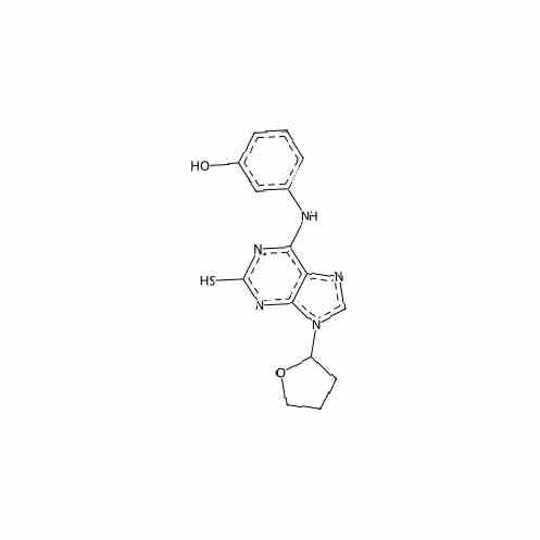 Oc1cccc(Nc2nc(S)nc3c2ncn3C2CCCO2)c1